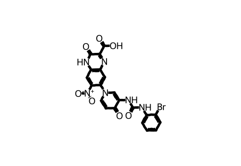 O=C(Nc1ccccc1Br)Nc1cn(-c2cc3nc(C(=O)O)c(=O)[nH]c3cc2[N+](=O)[O-])ccc1=O